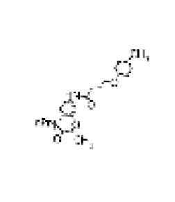 CCCN1C(=O)C(C)Oc2cc(NC(=O)CCCOc3ccc(C)cc3)ccc21